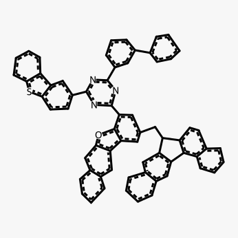 c1ccc(-c2cccc(-c3nc(-c4ccc5sc6ccccc6c5c4)nc(-c4cc(CC5c6cc7ccccc7cc6-c6c5ccc5ccccc65)cc5c4oc4cc6ccccc6cc45)n3)c2)cc1